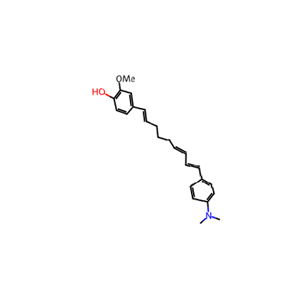 COc1cc(C=CCCCC=CC=Cc2ccc(N(C)C)cc2)ccc1O